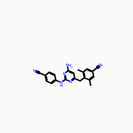 Cc1cc(C#N)cc(C)c1Cc1cc(N)nc(Nc2ccc(C#N)cc2)n1